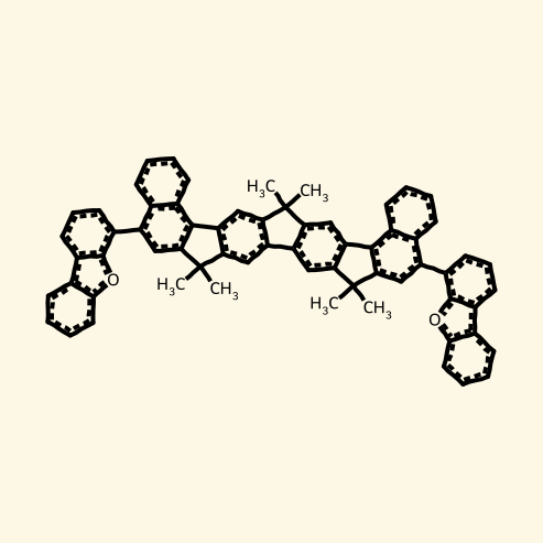 CC1(C)c2cc3c(cc2-c2cc4c(cc21)-c1c(cc(-c2cccc5c2oc2ccccc25)c2ccccc12)C4(C)C)C(C)(C)c1cc(-c2cccc4c2oc2ccccc24)c2ccccc2c1-3